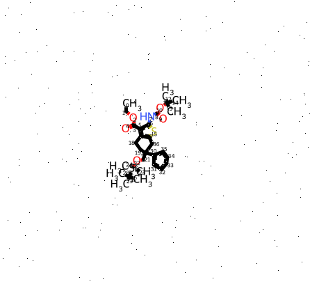 CCOC(=O)c1c(NC(=O)OC(C)(C)C)sc2c1CCC(CO[Si](C)(C)C(C)(C)C)(c1ccccc1)C2